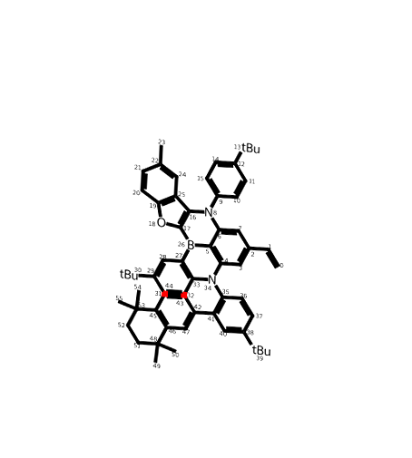 C=Cc1cc2c3c(c1)N(c1ccc(C(C)(C)C)cc1)c1c(oc4ccc(C)cc14)B3c1cc(C(C)(C)C)ccc1N2c1ccc(C(C)(C)C)cc1-c1ccc2c(c1)C(C)(C)CCC2(C)C